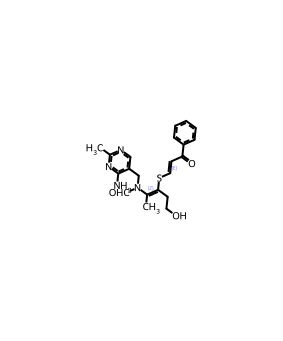 C/C(=C(\CCO)S/C=C/C(=O)c1ccccc1)N(C=O)Cc1cnc(C)nc1N